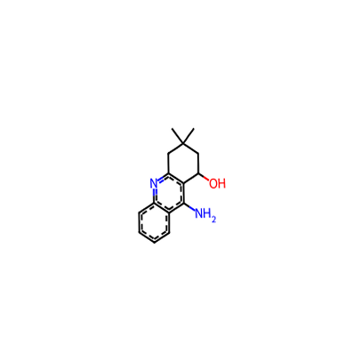 CC1(C)Cc2nc3ccccc3c(N)c2C(O)C1